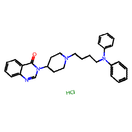 Cl.O=c1c2ccccc2ncn1C1CCN(CCCCN(c2ccccc2)c2ccccc2)CC1